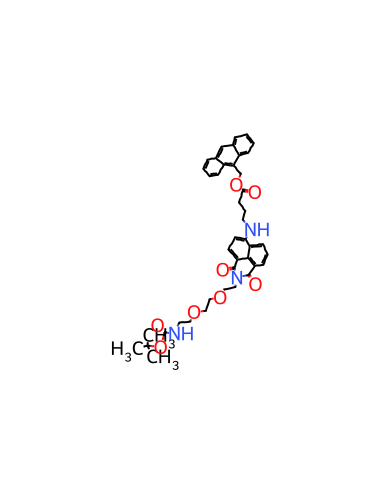 CC(C)(C)OC(=O)NCCOCCOCCN1C(=O)c2cccc3c(NCCCC(=O)OCc4c5ccccc5cc5ccccc45)ccc(c23)C1=O